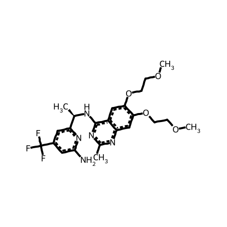 COCCOc1cc2nc(C)nc(N[C@H](C)c3cc(C(F)(F)F)cc(N)n3)c2cc1OCCOC